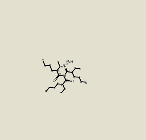 CCCCC(CC)C(=O)B(C(=O)C(CC)CCCC)C(=O)C(CC)CCCC.[NaH]